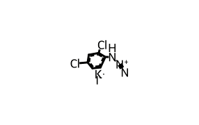 N#[N+]Nc1ccc(Cl)cc1Cl.[I-].[K]